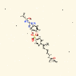 COC(=O)CCCCC[AsH]c1ccc(S(=O)(=O)Oc2ccc3[nH]c(NC(=O)C4CC4)nc3c2)cc1